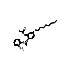 CCCCCCCCOc1ccc(N2CN2c2ccccc2N)c(OC(C)=O)c1